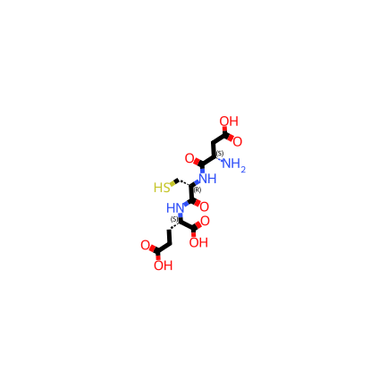 N[C@@H](CC(=O)O)C(=O)N[C@@H](CS)C(=O)N[C@@H](CCC(=O)O)C(=O)O